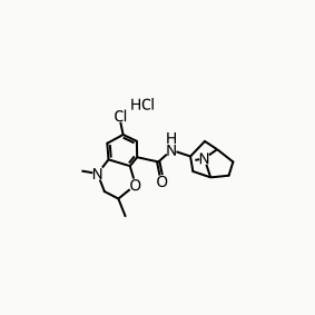 CC1CN(C)c2cc(Cl)cc(C(=O)NC3CC4CCC(C3)N4C)c2O1.Cl